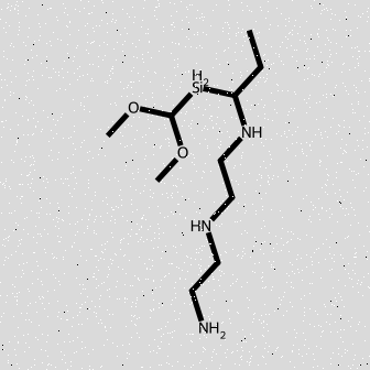 CCC(NCCNCCN)[SiH2]C(OC)OC